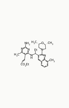 CCOC(=O)/C=C/c1c(C)nc(N)nc1NC(CC)c1cc2cccc(C)c2nc1N1C[C@@H](C)O[C@@H](C)C1